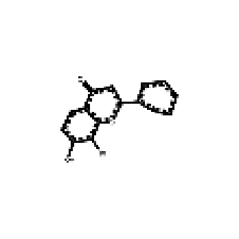 O=c1cc(-c2ccccc2)oc2c(Br)c(O)ccc12